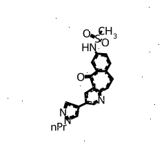 CCCn1cc(-c2cnc3ccc4ccc(NS(C)(=O)=O)cc4c(=O)c3c2)cn1